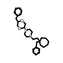 c1ccc(CC2COC(N3CCN(CCC4(Cc5ccccc5)CCCCCC4)CC3)CO2)cc1